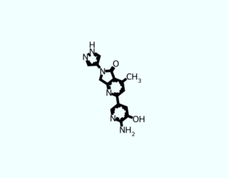 Cc1cc(-c2cnc(N)c(O)c2)nc2c1C(=O)N(c1cn[nH]c1)C2